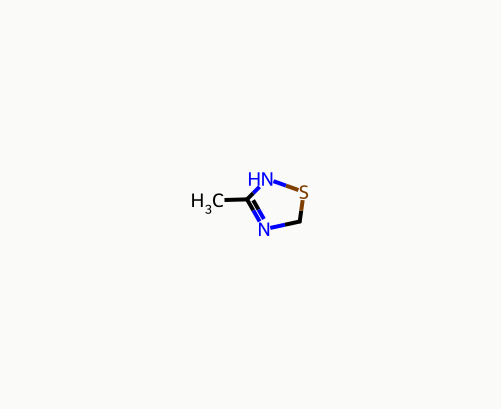 CC1=NCSN1